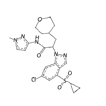 Cn1ccc(NC(=O)C(CC2CCOCC2)n2ncc3c(S(=O)(=O)C4CC4)cc(Cl)cc32)n1